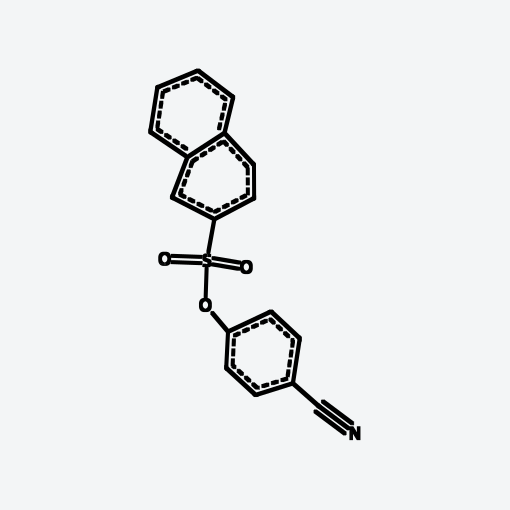 N#Cc1ccc(OS(=O)(=O)c2ccc3ccccc3c2)cc1